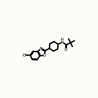 CC(C)(C)C(=O)NC1CCC(c2nc3cc(Cl)ccc3o2)CC1